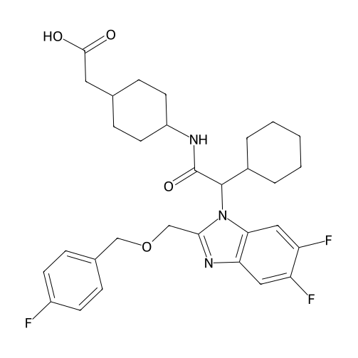 O=C(O)CC1CCC(NC(=O)C(C2CCCCC2)n2c(COCc3ccc(F)cc3)nc3cc(F)c(F)cc32)CC1